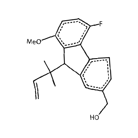 C=CC(C)(C)C1c2cc(CO)ccc2-c2c(F)ccc(OC)c21